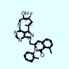 C\C1=C/C(F)=C(O)\C=N/c2ncnc3c2c1nn3Cc1cc2cccc(C)c2c(=O)n1-c1ccccc1C